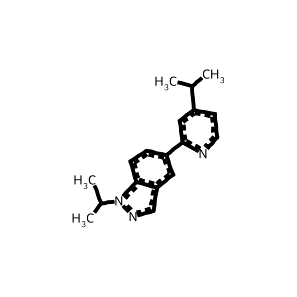 CC(C)c1ccnc(-c2ccc3c(cnn3C(C)C)c2)c1